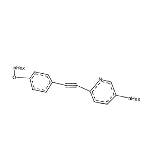 CCCCCCOc1ccc(C#Cc2ccc(CCCCCC)cn2)cc1